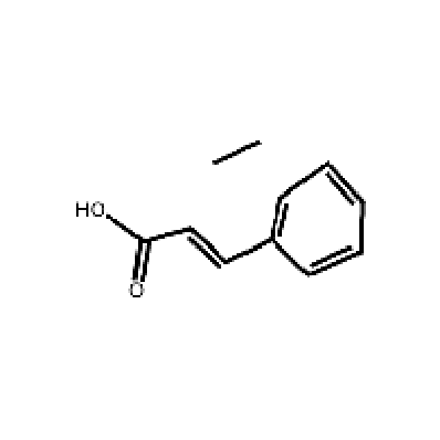 CC.O=C(O)C=Cc1ccccc1